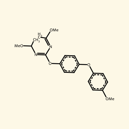 CO/C(C)=N/C(=N\C(C)OC)Oc1ccc(Oc2ccc(OC)cc2)cc1